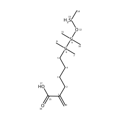 C=C(CCCC[Si](C)(C)[Si](C)(C)O[SiH2]C)C(=O)O